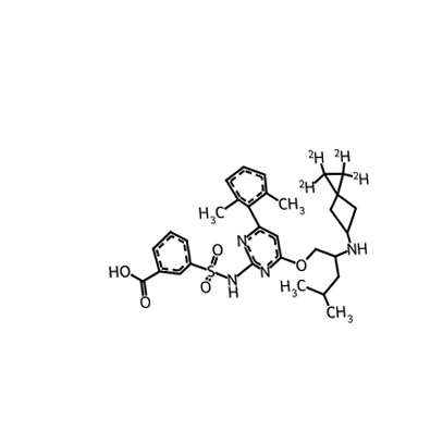 [2H]C1([2H])C([2H])([2H])C12CC(NC(COc1cc(-c3c(C)cccc3C)nc(NS(=O)(=O)c3cccc(C(=O)O)c3)n1)CC(C)C)C2